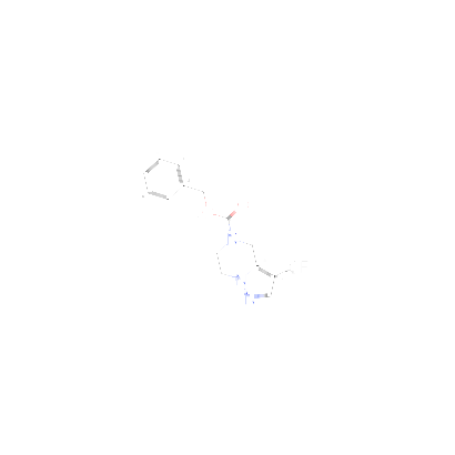 O=C(OCc1ccccc1)N1CCn2ncc(C(F)(F)F)c2C1